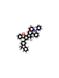 CC1(C)c2ccccc2-c2cc(-c3cc4c(c5oc6ccccc6c35)-c3cccc(-c5ccccc5N(c5ccccc5)c5ccccc5)c3C4(C)C)ccc21